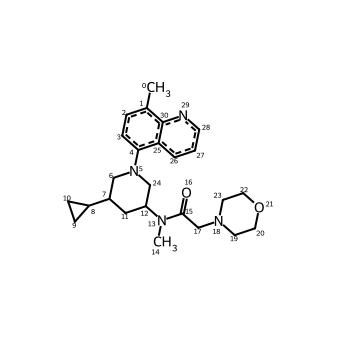 Cc1ccc(N2CC(C3CC3)CC(N(C)C(=O)CN3CCOCC3)C2)c2cccnc12